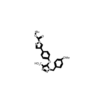 COc1ccc(Cn2nnc(C(=O)O)c2Oc2ccc(-c3cnn(C(=O)OC(C)(C)C)c3)cc2)cc1